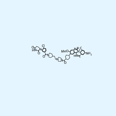 COc1cc2nc(C)nc(N[C@H](C)c3cc(N)cc(C(F)(F)F)c3)c2cc1C1CCC(C(=O)N2CCN(CCC3CCN(C(=O)c4ccc(Cl)c(N5CCC(=O)NC5=O)c4)CC3)CC2)CC1